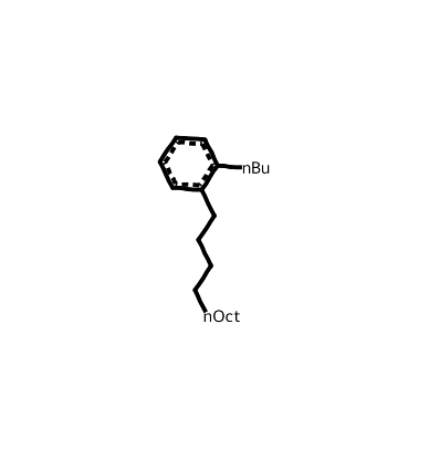 CCCCCCCCCCCCc1ccccc1CCCC